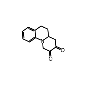 O=C1CC2CCc3ccccc3N2CC1=O